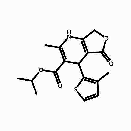 CC1=C(C(=O)OC(C)C)C(c2sccc2C)C2=C(COC2=O)N1